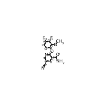 COc1c(Oc2ncc(C#N)cc2C(N)=O)ccc(F)c1F